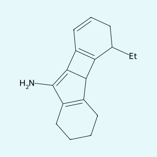 CCC1CC=CC2=C1C1C3=C(CCCC3)C(N)=C21